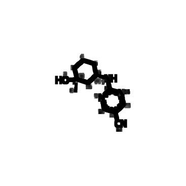 C[C@]1(O)CCC[C@@H](Nc2ncc(C#N)cn2)C1